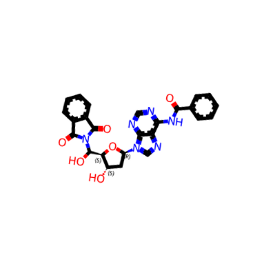 O=C(Nc1ncnc2c1ncn2[C@H]1C[C@H](O)[C@@H](C(O)N2C(=O)c3ccccc3C2=O)O1)c1ccccc1